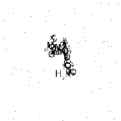 CCCc1nn(C)c2c(=O)[nH]c(-c3cc(OCc4ccc(C(N)=O)cc4)ccc3OCC)nc12